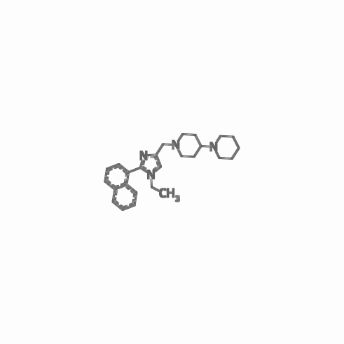 CCn1cc(CN2CCC(N3CCCCC3)CC2)nc1-c1cccc2ccccc12